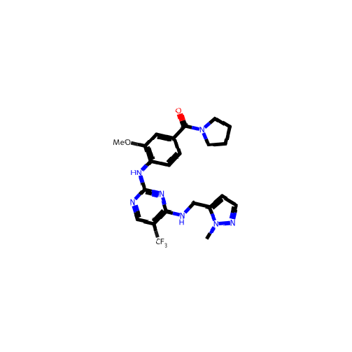 COc1cc(C(=O)N2CCCC2)ccc1Nc1ncc(C(F)(F)F)c(NCc2ccnn2C)n1